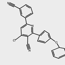 N#Cc1cccc(-c2cc(Cl)c(C#N)c(-c3ccc(OC4C=CC=CC4)cc3)n2)c1